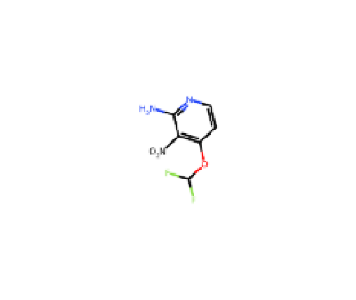 Nc1nccc(OC(F)F)c1[N+](=O)[O-]